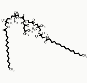 CCCCCCCCCCCCCCCC(=O)NCC(C)(C)COCC(C)(C)CNC(=O)[C@H](CCC(=O)NCC(C)(C)COC(C)(C)CNC(=O)CCCCCCCCCCCCCCC)NC(=O)CC(C)C